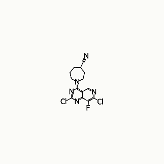 N#CC1CCCN(c2nc(Cl)nc3c(F)c(Cl)ncc23)CC1